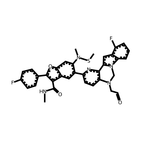 CNC(=O)c1c(-c2ccc(F)cc2)oc2cc(N(C)SC)c(-c3ccc4c(n3)-c3cc5c(F)cccc5n3CN4CC=O)cc12